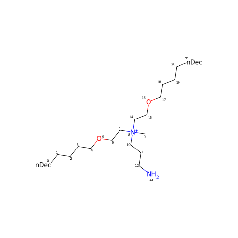 CCCCCCCCCCCCCCOCC[N+](C)(CCCN)CCOCCCCCCCCCCCCCC